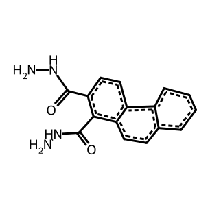 NNC(=O)c1ccc2c(ccc3ccccc32)c1C(=O)NN